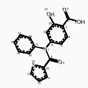 O=C(O)c1ccc(N(C(=O)c2cccs2)c2ccccc2)cc1O